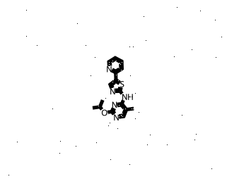 Cc1cnc(OC(C)C)nc1Nc1ncc(-c2ccccn2)s1